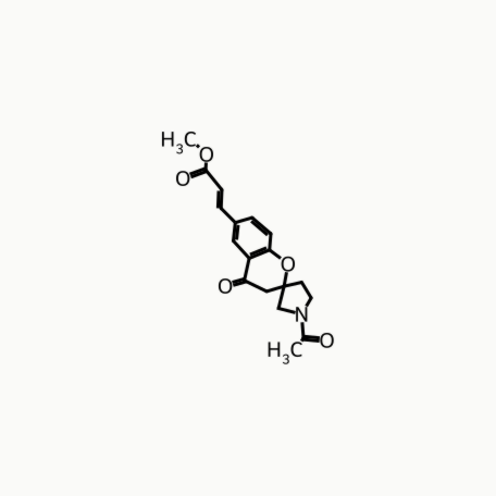 COC(=O)/C=C/c1ccc2c(c1)C(=O)CC1(CCN(C(C)=O)C1)O2